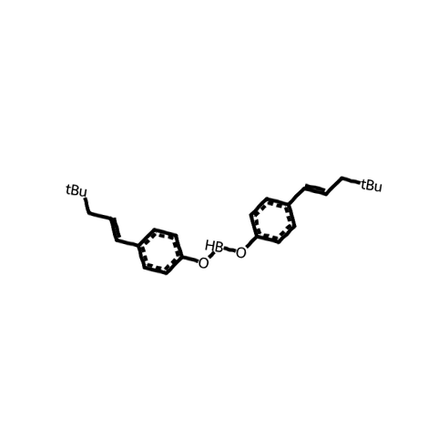 CC(C)(C)CC=Cc1ccc(OBOc2ccc(C=CCC(C)(C)C)cc2)cc1